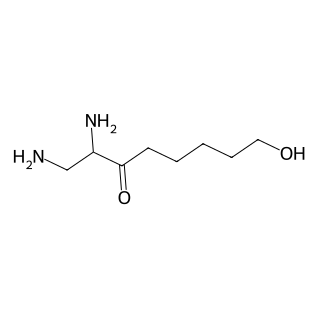 NCC(N)C(=O)CCCCCO